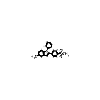 Cc1ccc2c(c1)cc(-c1ccc(S(C)(=O)=O)cc1)n2-c1ccccc1